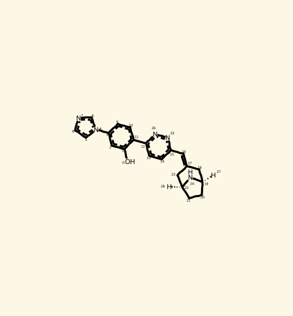 Oc1cc(-n2ccnc2)ccc1-c1ccc(/C=C2/C[C@H]3CC[C@@H](C2)N3)nn1